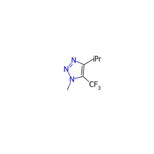 CC(C)c1nnn(C)c1C(F)(F)F